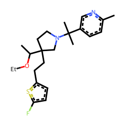 CCOC(C)C1(CCc2ccc(F)s2)CCN(C(C)(C)c2ccc(C)nc2)C1